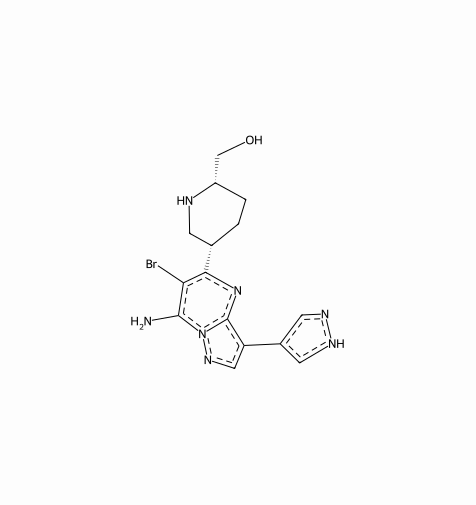 Nc1c(Br)c([C@H]2CC[C@@H](CO)NC2)nc2c(-c3cn[nH]c3)cnn12